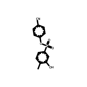 Cc1ccc(S(=O)(=O)Oc2ccc(C#N)cc2)cc1O